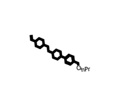 C=CC1CCC(CCC2CCC(c3ccc(COCCC)cc3)CC2)CC1